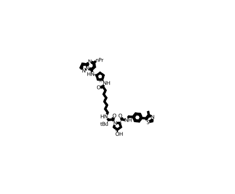 CCCc1cc(N[C@@H]2CC[C@@H](NC(=O)CCCCCCCN[C@H](C(=O)N3C[C@H](O)C[C@H]3C(=O)NCc3ccc(-c4scnc4C)cc3)C(C)(C)C)C2)n2nccc2n1